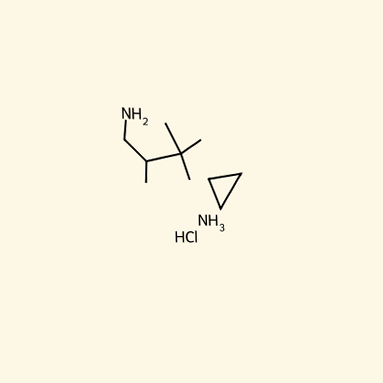 C1CC1.CC(CN)C(C)(C)C.Cl.N